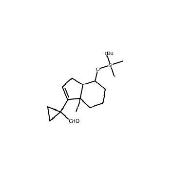 CC12CCCC(O[Si](C)(C)C(C)(C)C)C1CC=C2C1(C=O)CC1